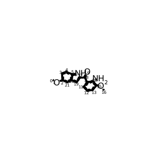 COc1ccc2[nH]c(C(=O)c3cccc(OC)c3N)cc2c1